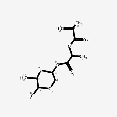 C=C(C)C(=O)OC(C)C(=O)OC1COC(C)C(C)S1